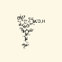 CC1(COc2c(C3CCN(S(C)(=O)=O)CC3)cnc3c2c(Br)cn3COCC[Si](C)(C)C)CCN(C(=O)O)CC1